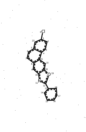 Clc1ccc2c(ccc3cc4nc(-c5ccccc5)oc4cc32)c1